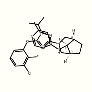 Cc1cc(N2C[C@H]3CC[C@@H](C2)[C@H]3Nc2nc(Oc3cccc(Cl)c3F)n(C(C)C)n2)ncn1